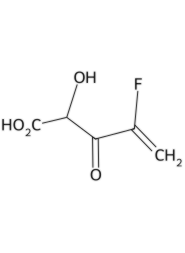 C=C(F)C(=O)C(O)C(=O)O